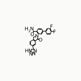 NC(=O)c1ccc(-c2ccc(F)c(F)c2)cc1N1Cc2ccc(-c3nnn[nH]3)cc2C1=O